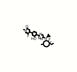 CC[C@]1(C)CCCC(C)C[C@H](N(c2cnc(-c3ccc(-c4cc(=O)n(C)cc4F)cc3O)nn2)C2CC2)[C@@H]1F